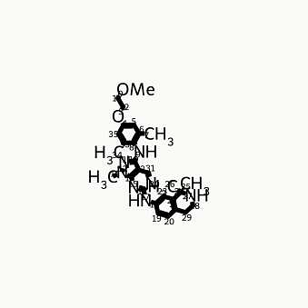 COCCOc1cc(C)c(Nc2nn(C)c3nc(Nc4ccc5c(c4)C(C)(C)NCC5)ncc23)c(C)c1